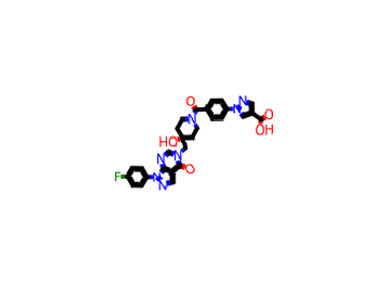 O=C(O)c1cnn(-c2ccc(C(=O)N3CCC(O)(Cn4cnc5c(cnn5-c5ccc(F)cc5)c4=O)CC3)cc2)c1